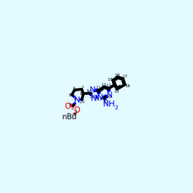 CCCCOC(=O)N1CCCC(c2nc3cc(-c4ccccc4)nc(N)n3n2)C1